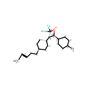 C/C=C/CC[C@H]1CC[C@H]([C@H]2[C@H](C3CCC(CC)CC3)OC2(F)F)CC1